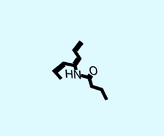 C=C/C=C(\C=C/C)NC(=O)CCC